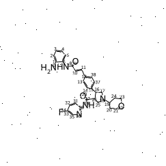 Nc1ccccc1NC(=O)/C=C/c1ccc(C2CN(C3CCOCC3)CC2C(=O)Nc2ccc(F)cn2)cc1